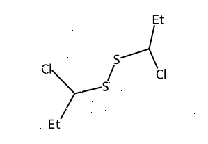 CCC(Cl)SSC(Cl)CC